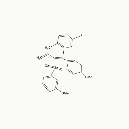 C=C/C(=C(/c1ccc(OC)cc1)c1cc(F)ccc1C)S(=O)(=O)c1cccc(OC)c1